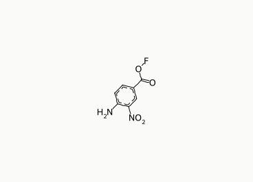 Nc1ccc(C(=O)OF)cc1[N+](=O)[O-]